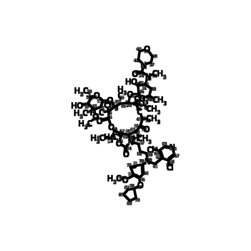 CC[C@H]1OC(=O)C(C)(C)[C@@H](O[C@H]2C[C@@](C)(OC)[C@@H](O)[C@H](C)O2)[C@H](C)[C@@H](O[C@@H]2O[C@H](C)C[C@H](N(C)C(=O)N3CCOCC3)[C@H]2O)[C@](C)(OC)C[C@@H](C)C(=O)[C@H](C)[C@H]2N(CCCN(Cc3c(Cl)cncc3Cl)c3ccc(OC)c(OC4CCCC4)c3)C(=O)O[C@]12C